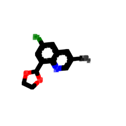 O=[N+]([O-])c1cnc2c(C3OCCO3)cc(Br)cc2c1